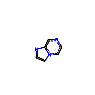 C1=C[n+]2ccncc2N=1